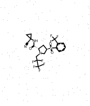 N#CC1(NC(=O)[C@@H]2C[C@@H](S(=O)(=O)c3ccccc3C(F)(F)F)CN2CC(F)(F)C(F)(F)F)CC1